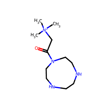 C[N+](C)(C)CC(=O)N1CCNCCNCC1